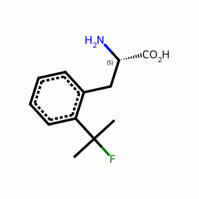 CC(C)(F)c1ccccc1C[C@H](N)C(=O)O